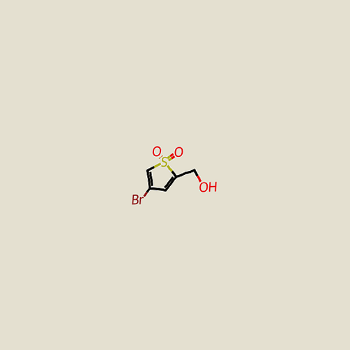 O=S1(=O)C=C(Br)C=C1CO